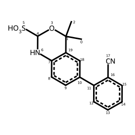 CC1(C)OC(S(=O)(=O)O)Nc2ccc(-c3ccccc3C#N)cc21